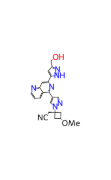 CO[C@H]1C[C@@](CC#N)(n2cc(-c3nc(-c4cc(CO)n[nH]4)cc4ncccc34)cn2)C1